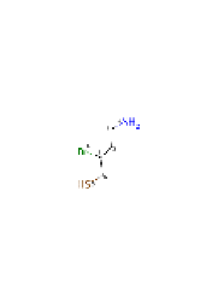 NCCC(Br)CS